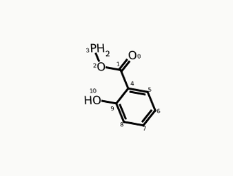 O=C(OP)c1ccccc1O